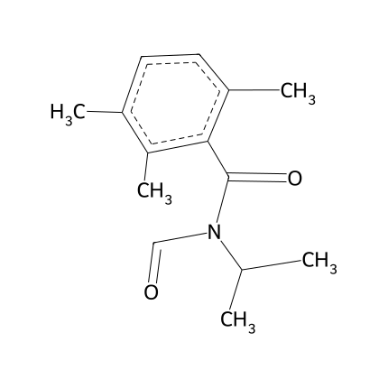 Cc1ccc(C)c(C(=O)N(C=O)C(C)C)c1C